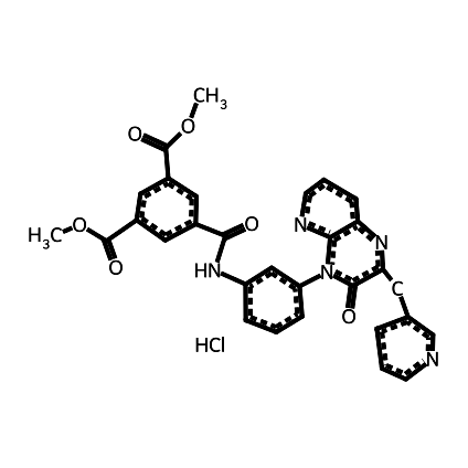 COC(=O)c1cc(C(=O)Nc2cccc(-n3c(=O)c(Cc4cccnc4)nc4cccnc43)c2)cc(C(=O)OC)c1.Cl